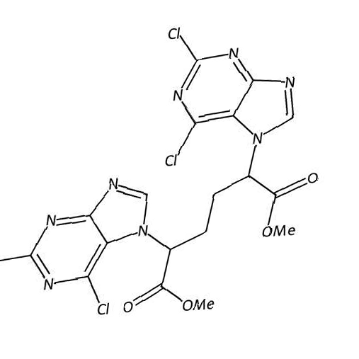 COC(=O)C(CCC(C(=O)OC)n1cnc2nc(Cl)nc(Cl)c21)n1cnc2nc(Cl)nc(Cl)c21